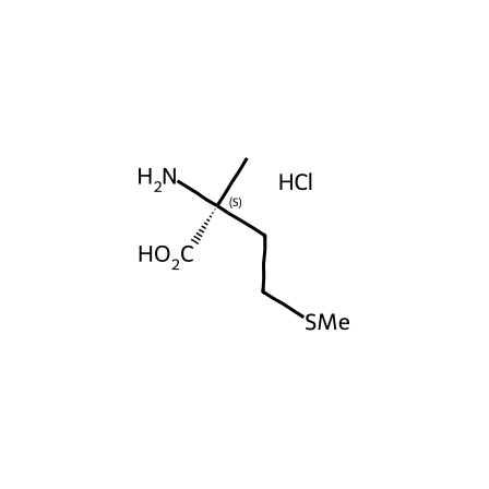 CSCC[C@](C)(N)C(=O)O.Cl